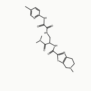 Cc1ccc(NC(=O)C(=O)NCC(NC(=O)c2nc3c(s2)CN(C)CC3)C(=O)N(C)C)nc1